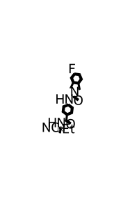 CC[C@](C)(C#N)NC(=O)c1ccc(NC(=O)N2Cc3ccc(F)cc3C2)cc1